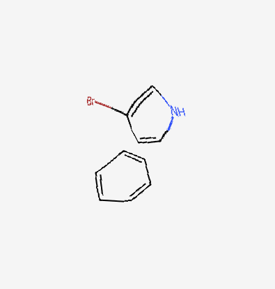 Brc1cc[nH]c1.c1ccccc1